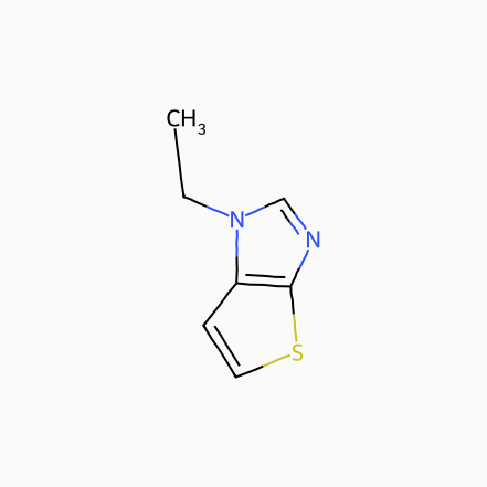 CCn1cnc2sccc21